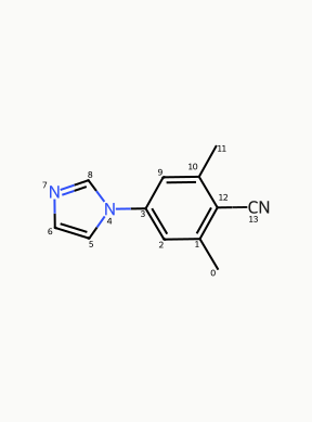 Cc1cc(-n2ccnc2)cc(C)c1C#N